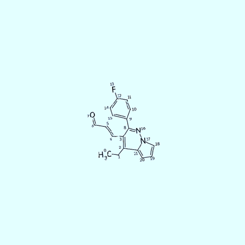 CCc1c(/C=C/C=O)c(-c2ccc(F)cc2)nn2cccc12